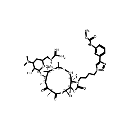 CC[C@H]1OC(=O)[C@H](C)C(=O)[C@H](C)[C@@H](O[C@@H]2OC(CNC(=N)N)CC(N(C)C)C2O)[C@](C)(OC)C[C@@H](C)CN[C@H](C)[C@H]2N(CCCCn3cc(-c4cccc(NC(=O)OC(C)(C)C)c4)nn3)C(=O)O[C@]12C